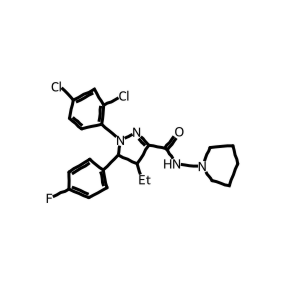 CCC1C(C(=O)NN2CCCCC2)=NN(c2ccc(Cl)cc2Cl)C1c1ccc(F)cc1